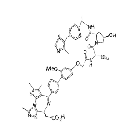 COc1cc(OCC(=O)N[C@H](C(=O)N2C[C@H](O)C[C@H]2C(=O)N[C@@H](C)c2ccc(-c3scnc3C)cc2)C(C)(C)C)ccc1-c1ccc(C2=N[C@@H](CC(=O)O)c3nnc(C)n3-c3sc(C)c(C)c32)cc1